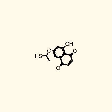 CC(O)S.O=C1C=CC(=O)c2c(O)cccc21